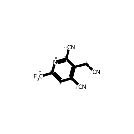 N#CCc1c(C#N)cc(C(F)(F)F)nc1C#N